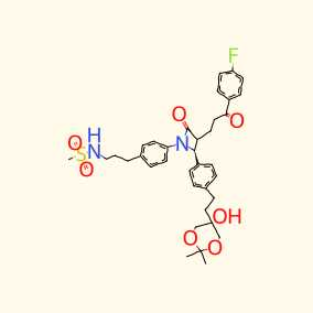 CC1(C)OCC(O)(CCc2ccc([C@@H]3C(CCC(=O)c4ccc(F)cc4)C(=O)N3c3ccc(CCCNS(C)(=O)=O)cc3)cc2)CO1